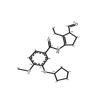 CCC1=C(NC(=O)c2ccc(OC)c(OC3CCCC3)c2)CCC1C=O